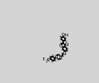 O=c1c(-c2ccc(O)cc2)coc2cc(OCCN3CCN(c4ccc(C(F)(F)F)cc4)CC3)ccc12